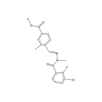 Cc1cc(C(=O)OF)ccc1/C=N/N(C)C(=O)c1cccc(Cl)c1F